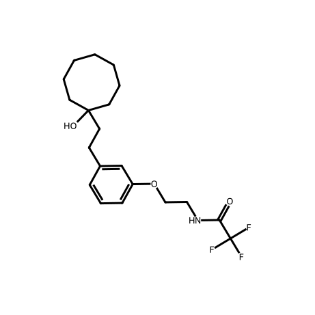 O=C(NCCOc1cccc(CCC2(O)CCCCCCC2)c1)C(F)(F)F